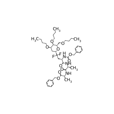 CCCCOC[C@H]1O[C@@H](C(F)(F)C[C@@H](NC(=O)OCc2ccccc2)C(=O)N[C@@H](C)C(=O)N[C@@H](C)C(=O)OCc2ccccc2)C[C@@H](OCCCC)[C@H]1OCCCC